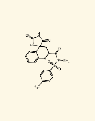 Cc1ccc(S(=O)(=O)N(N)C(=O)C2CC3(NC(=O)NC3=O)c3ccccc3O2)cc1